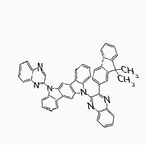 CC1(C)c2ccccc2-c2ccc(-c3nc4ccccc4nc3-n3c4ccccc4c4cc5c(cc43)c3ccccc3n5-c3cnc4ccccc4n3)cc21